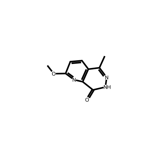 COc1ccc2c(C)n[nH]c(=O)c2n1